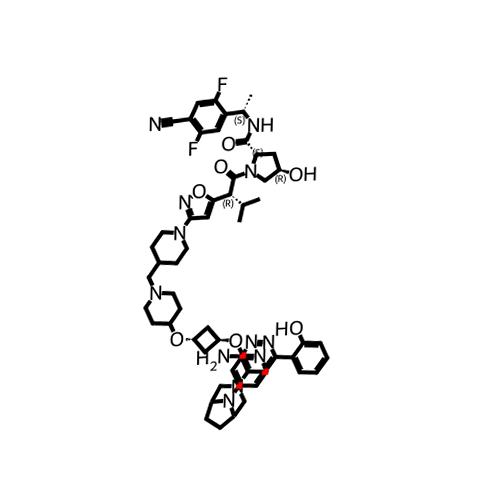 CC(C)[C@@H](C(=O)N1C[C@H](O)C[C@H]1C(=O)N[C@@H](C)c1cc(F)c(C#N)cc1F)c1cc(N2CCC(CN3CCC(O[C@H]4C[C@H](Oc5cc(N6C7CCC6CN(c6cc(-c8ccccc8O)nnc6N)C7)ccn5)C4)CC3)CC2)no1